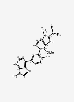 CCn1cnc2c(-c3ccc(F)c(-c4ccc5c(nc(C(F)F)n5C)c4OC)c3)cnnc21